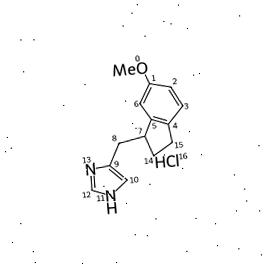 COc1ccc2c(c1)C(Cc1c[nH]cn1)CC2.Cl